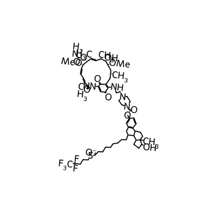 CO[C@H]1/C=C\C=C(/C)C(=O)NC2=CC(=O)C(NCCN3CCN(C(=O)Oc4ccc5c(c4)CC(CCCCCCCCC[S+]([O-])CCCC(F)(F)C(F)(F)F)C4C5CCC5(C)C(O)CCC45)CC3)=C(C[C@@H](C)C[C@H](OC)[C@@H](O)[C@@H](C)/C=C(\C)[C@@H]1OC(N)=O)C2=O